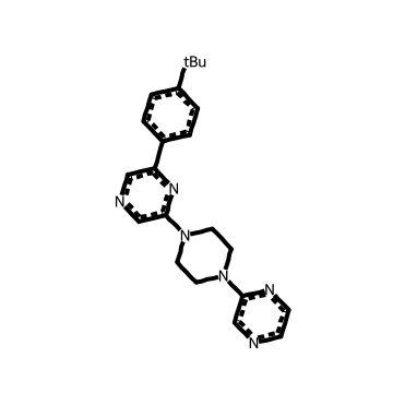 CC(C)(C)c1ccc(-c2cncc(N3CCN(c4cnccn4)CC3)n2)cc1